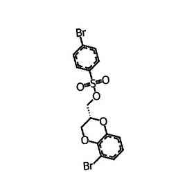 O=S(=O)(OC[C@H]1COc2c(Br)cccc2O1)c1ccc(Br)cc1